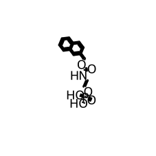 O=C(NCCOP(=O)(O)O)OCc1ccc2ccccc2c1